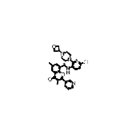 Cc1cc(C(C)Nc2ccc(Cl)nc2N2CCN(C3COC3)CC2)c2oc(-c3cccnc3)c(C)c(=O)c2c1